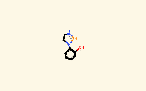 Oc1ccccc1N1CCNP1